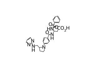 O=C(O)CC(NC(=O)c1ccc(N2CCCC2CNc2ncccn2)cc1)NS(=O)(=O)c1ccccc1